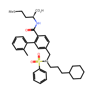 CSCC[C@H](NC(=O)c1ccc(C[As](CCCC2CCCCC2)S(=O)(=O)c2ccccc2)cc1-c1ccccc1C)C(=O)O